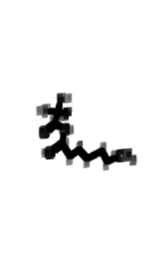 CCCCCCC(=O)OC(=O)C(F)(F)F